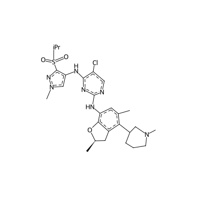 Cc1cc(Nc2ncc(Cl)c(Nc3cn(C)nc3S(=O)(=O)C(C)C)n2)c2c(c1C1CCCN(C)C1)C[C@@H](C)O2